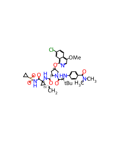 C=C[C@@H]1C[C@]1(NC(=O)[C@@H]1C[C@@H](Oc2ncc(OC)c3ccc(Cl)cc23)CN1C(=O)[C@H](Nc1ccc(C(=O)N(C)C)cc1)C(C)(C)C)C(=O)NS(=O)(=O)C1CC1